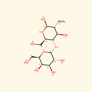 CC(=O)N[C@@H]1[C@@H](O)[C@H](O[C@H]2O[C@H](CO)[C@H](O)[C@H](O)[C@H]2O)[C@@H](CO)O[C@H]1O